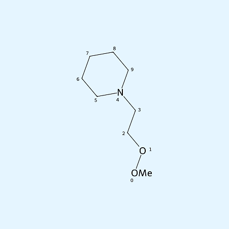 COOCCN1CCCCC1